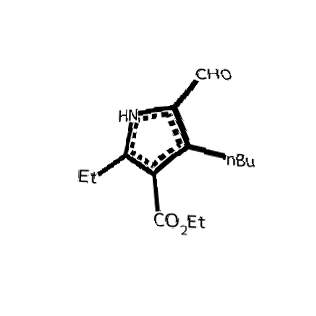 CCCCc1c(C=O)[nH]c(CC)c1C(=O)OCC